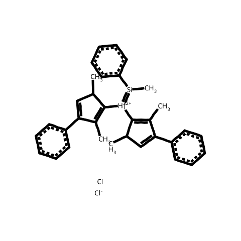 CC1=[C]([Hf+2]([C]2=C(C)C(c3ccccc3)=CC2C)=[Si](C)c2ccccc2)C(C)C=C1c1ccccc1.[Cl-].[Cl-]